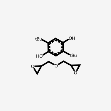 C(OCC1CO1)C1CO1.CC(C)(C)c1cc(O)c(C(C)(C)C)cc1O